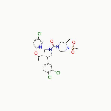 CC(Oc1ccc(Cl)cn1)C1CN(C(=O)N2CCN(S(C)(=O)=O)[C@H](C)C2)CC1c1ccc(Cl)c(Cl)c1